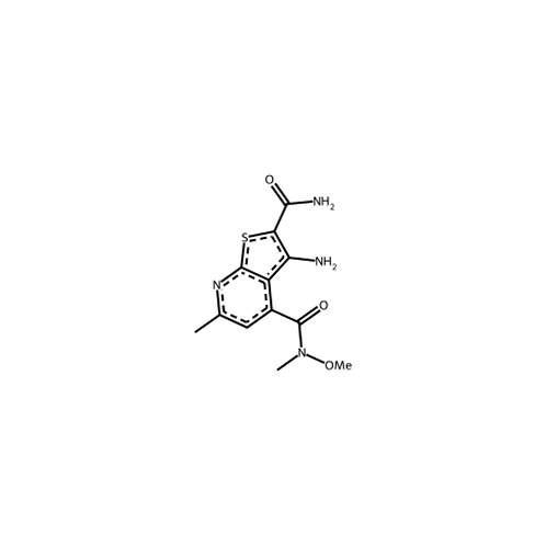 CON(C)C(=O)c1cc(C)nc2sc(C(N)=O)c(N)c12